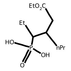 CCCC(CC(=O)OCC)C(CC)P(=O)(O)O